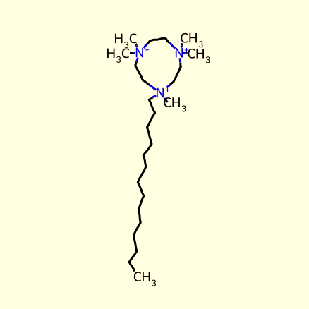 CCCCCCCCCCCCCC[N+]1(C)CC[N+](C)(C)CC[N+](C)(C)CC1